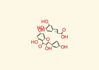 O=C(O)/C=C/c1ccc(O)c(O)c1.O=c1c(O)c(-c2ccc(O)cc2)oc2cc(O)cc(O)c12